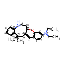 CCN(CC)c1ccc2c(c1)OC1CCNc3ccccc3C(C)(C)CC1=C2